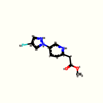 COC(=O)Cc1ccc(-n2cc(F)cn2)cn1